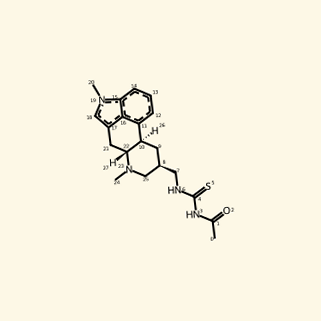 CC(=O)NC(=S)NC[C@@H]1C[C@@H]2c3cccc4c3c(cn4C)C[C@H]2N(C)C1